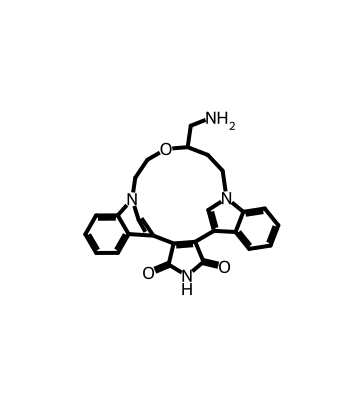 NCC1CCn2cc(c3ccccc32)C2=C(C(=O)NC2=O)c2cn(c3ccccc23)CCO1